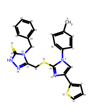 Cc1ccc(-n2cc(-c3cccs3)nc2SCc2n[nH]c(=S)n2Cc2ccccc2)cc1